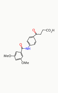 COc1cc(OC)cc(C(=O)Nc2ccc(C(=O)CCC(=O)O)cc2)c1